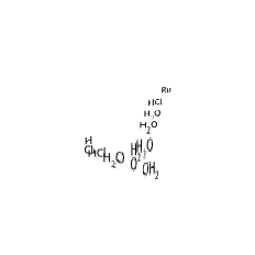 Cl.Cl.Cl.O.O.O.O.O.O.[Ru]